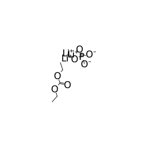 CCOC(=O)OCC.O=P([O-])([O-])[O-].[Li+].[Li+].[Li+]